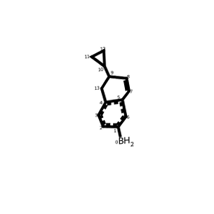 Bc1ccc2c(c1)C=CC(C1CC1)C2